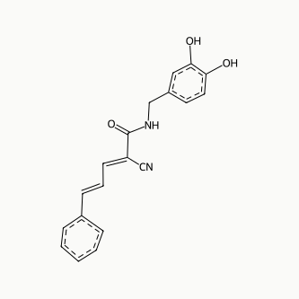 N#C/C(=C\C=C\c1ccccc1)C(=O)NCc1ccc(O)c(O)c1